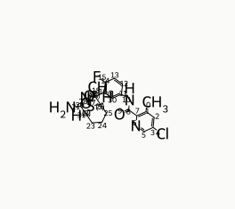 Cc1cc(Cl)cnc1C(=O)Nc1ccc(F)c([C@@]2(C)N=C(N)[C@@H]3CCC[C@@H]2S3(=O)=O)c1